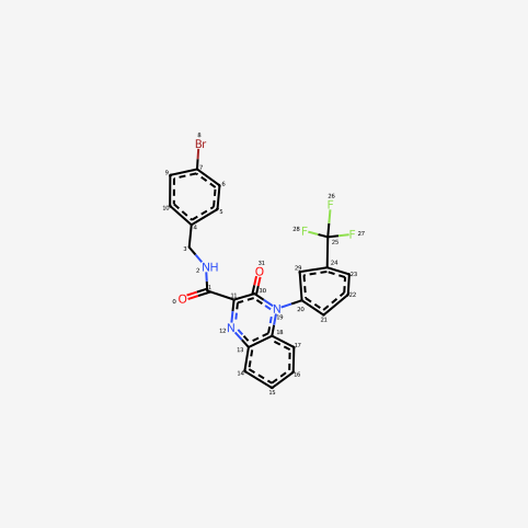 O=C(NCc1ccc(Br)cc1)c1nc2ccccc2n(-c2cccc(C(F)(F)F)c2)c1=O